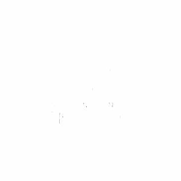 C=CC(=O)NCCN(CCN(C(=O)C=C)c1ccc2sc3ccccc3c(=O)c2c1)C(=O)C=C